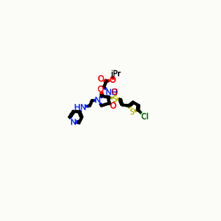 CC(C)OC(=O)CNC1(S(=O)(=O)C=Cc2ccc(Cl)s2)CCN(CCNc2ccncc2)C1=O